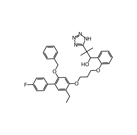 CCc1cc(-c2ccc(F)cc2)c(OCc2ccccc2)cc1OCCCOc1ccccc1C(O)C(C)(C)c1nnn[nH]1